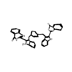 O=c1oc(-c2[nH]c3ccccc3c2Cc2ccc(Cc3c(-c4nc5ccccc5c(=O)o4)[nH]c4ccccc34)cc2)nc2ccccc12